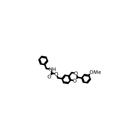 COc1cccc(C2OCc3cc(COC(=O)NCc4ccccc4)ccc3O2)c1